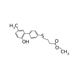 CCOC(=O)CCCSc1ccc(-c2cc(C)ccc2O)cc1